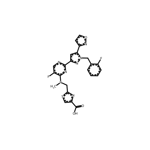 CN(Cc1nc(C(=O)O)cs1)c1nc(-c2cc(-c3ccon3)n(Cc3ccccc3F)n2)ncc1F